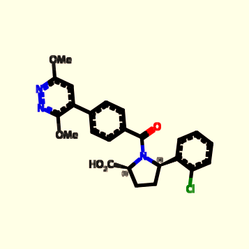 COc1cc(-c2ccc(C(=O)N3[C@@H](c4ccccc4Cl)CC[C@H]3C(=O)O)cc2)c(OC)nn1